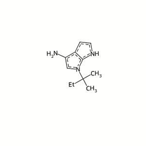 CCC(C)(C)n1cc(N)c2cc[nH]c21